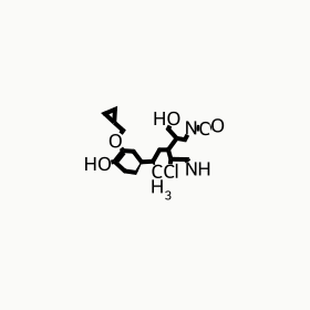 C[C@@H](CC(C(Cl)C=N)C(CO)CN=C=O)[C@H]1CCC(O)=C(OCC2CC2)C1